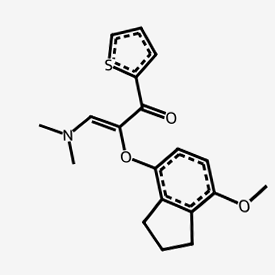 COc1ccc(OC(=CN(C)C)C(=O)c2cccs2)c2c1CCC2